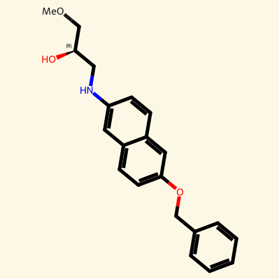 COC[C@H](O)CNc1ccc2cc(OCc3ccccc3)ccc2c1